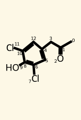 CC(=O)Cc1cc(Cl)c(O)c(Cl)c1